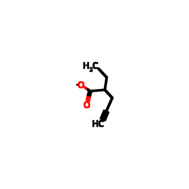 C#CCC(CC)C([O])=O